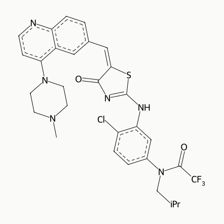 CC(C)CN(C(=O)C(F)(F)F)c1ccc(Cl)c(NC2=NC(=O)C(=Cc3ccc4nccc(N5CCN(C)CC5)c4c3)S2)c1